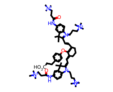 CC1(C)C(/C=C/C2=C(Oc3ccc(CCC(=O)O)cc3)C(=C/C=C3/N(CCC[N+](C)(C)C)c4ccc(NC(=O)CC[N+](C)(C)C)cc4C3(C)C)/CCC2)=[N+](CCC[N+](C)(C)C)c2ccc(NC(=O)CC[N+](C)(C)C)cc21